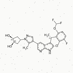 Cc1c(-c2cnc3[nH]cc([C@H](C)c4c(OC(F)F)ccc(F)c4Cl)c3c2)cnn1C1C[C@@H](O)[C@@H](O)C1